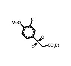 CCOC(=O)CS(=O)(=O)c1ccc(OC)c(Cl)c1